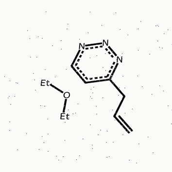 C=CCc1ccnnn1.CCOCC